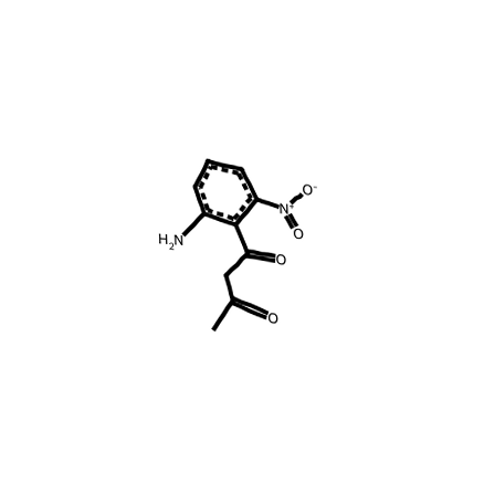 CC(=O)CC(=O)c1c(N)cccc1[N+](=O)[O-]